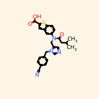 CC(C)CC(=O)N(Cc1cncn1Cc1ccc(C#N)cc1)c1ccc2sc(C(=O)O)cc2c1